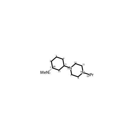 CN[C@@H]1CCCC(N2CCN(C(C)C)CC2)C1